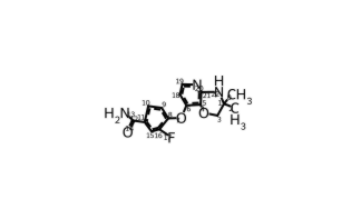 CC1(C)COc2c(Oc3ccc(C(N)=O)cc3F)ccnc2N1